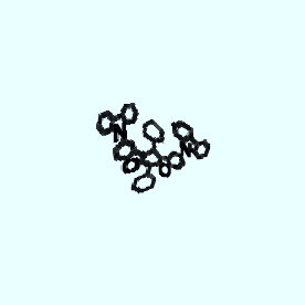 c1ccc2c(c1)c1ccccc1n2-c1ccc2oc3c(C4CCCCC4)c4oc5ccc(-n6c7ccccc7c7ccccc76)cc5c4c(C4CCCCC4)c3c2c1